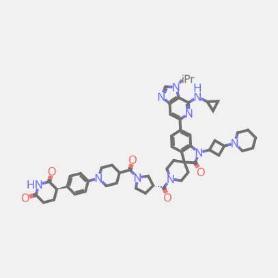 CC(C)n1cnc2cc(-c3ccc4c(c3)N(C3CC(N5CCCCC5)C3)C(=O)C43CCN(C(=O)[C@@H]4CCN(C(=O)C5CCN(c6ccc([C@H]7CCC(=O)NC7=O)cc6)CC5)C4)CC3)nc(NC3CC3)c21